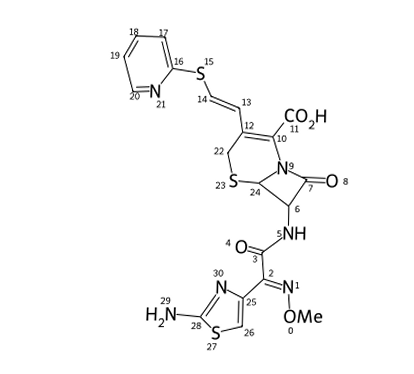 CON=C(C(=O)NC1C(=O)N2C(C(=O)O)=C(C=CSc3ccccn3)CSC12)c1csc(N)n1